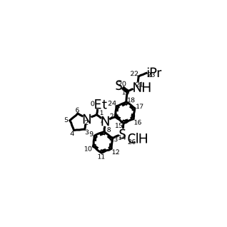 CCC(N1CCCC1)N1c2ccccc2Sc2ccc(C(=S)NCC(C)C)cc21.Cl